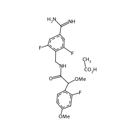 CC(=O)O.COc1ccc(C(OC)C(=O)NCc2c(F)cc(C(=N)N)cc2F)c(F)c1